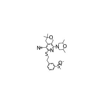 CC1CN(c2nc(SCCc3cccc([S+](C)[O-])c3)c(C#N)c3c2COC(C)(C)C3)CC(C)O1